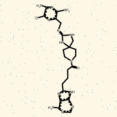 Nc1nc(N)c(C/N=C2\NCC3(CCN(C(=O)CCCc4nc5c(N)ncnc5[nH]4)CC3)N2)nc1Cl